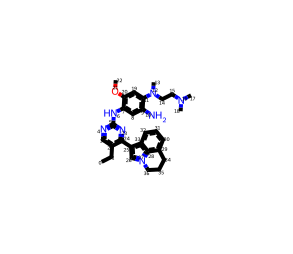 CCc1cnc(Nc2cc(N)c(N(C)CCN(C)C)cc2OC)nc1-c1cn2c3c(cccc13)CCC2